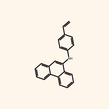 C=Cc1ccc(Nc2cc3ccccc3c3ccccc23)cc1